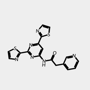 O=C(Cc1cccnc1)Nc1cc(-c2nccs2)nc(-c2nccs2)n1